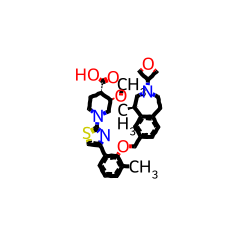 CO[C@@H]1CN(c2nc(-c3cccc(C)c3OCc3ccc4c(c3)[C@@H](C)CN(C3COC3)CC4)cs2)CC[C@@H]1C(=O)O